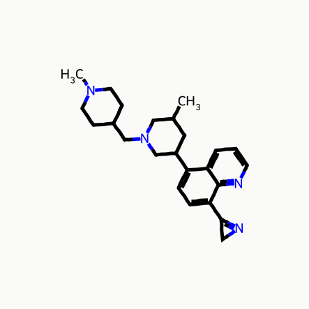 CC1CC(c2ccc(C3=NC3)c3ncccc23)CN(CC2CCN(C)CC2)C1